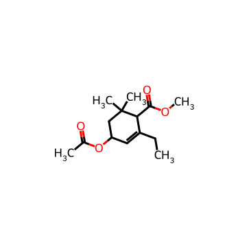 CCC1=CC(OC(C)=O)CC(C)(C)C1C(=O)OC